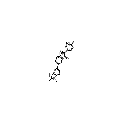 Cc1ccc(-c2nc3ccc(-c4ccc5c(c4)nc(C)n5C)cc3n2C)cn1